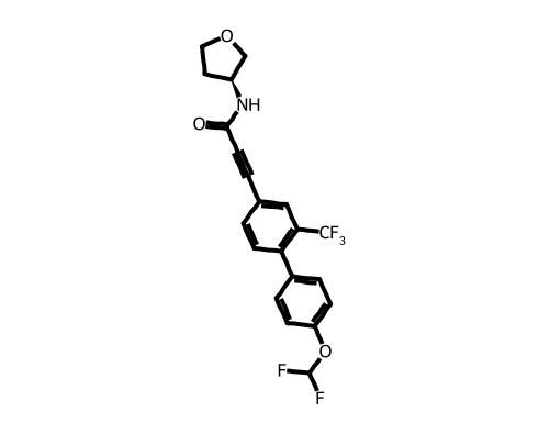 O=C(C#Cc1ccc(-c2ccc(OC(F)F)cc2)c(C(F)(F)F)c1)N[C@H]1CCOC1